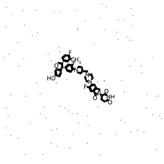 Cc1cc([C@H]2COc3cc(O)ccc3[C@H]2c2ccc(N3CCC(CN4CCN(c5cc6c(cc5F)C(=O)N([C@H]5CCC(=O)NC5=O)C6)CC4)CC3)c(F)c2)ccc1F